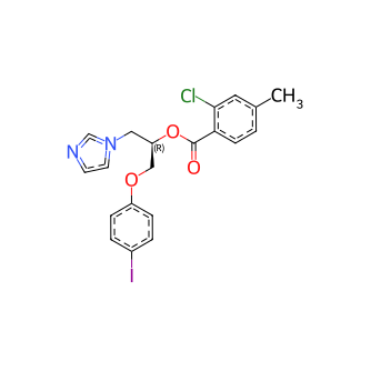 Cc1ccc(C(=O)O[C@@H](COc2ccc(I)cc2)Cn2ccnc2)c(Cl)c1